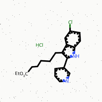 CCOC(=O)CCCCCc1c(-c2cccnc2)[nH]c2ccc(Cl)cc12.Cl